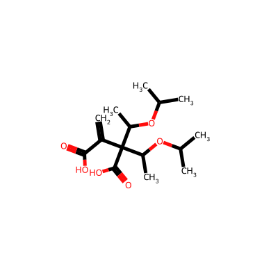 C=C(C(=O)O)C(C(=O)O)(C(C)OC(C)C)C(C)OC(C)C